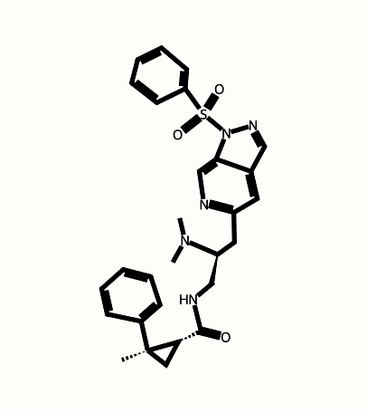 CN(C)[C@H](CNC(=O)[C@@H]1C[C@@]1(C)c1ccccc1)Cc1cc2cnn(S(=O)(=O)c3ccccc3)c2cn1